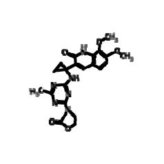 COc1ccc2cc(C3(Nc4nc(C)nc(N5CCOC5=O)n4)CC3)c(=O)[nH]c2c1OC